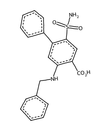 NS(=O)(=O)c1cc(C(=O)O)c(NCc2ccccc2)cc1-c1ccccc1